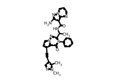 Cc1c(C#Cc2ccn3nc(C(C)NC(=O)c4c(N)nn5cccnc45)n(-c4ccccc4)c(=O)c23)cnn1C